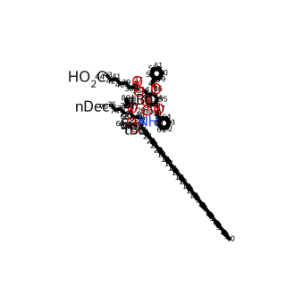 CC#CC#CC#CC#CC#CC#CC#CC#CC#CC#CC#CC#CC(=O)N[C@@H](CO[C@H]1OC(COC(=O)CCCCCCC(=O)O)[C@H](OCc2ccccc2)[C@H](C)C1OCc1ccccc1)[C@H](O[Si](C)(C)C(C)(C)C)[C@@H](CCCCCCCCCCCCCC)O[Si](C)(C)C(C)(C)C